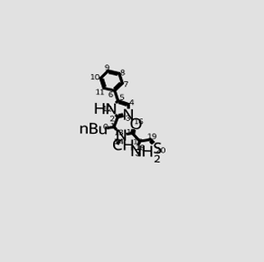 CCCCC(c1ncc(-c2ccccc2)[nH]1)N(C)C(=O)C(N)C=S